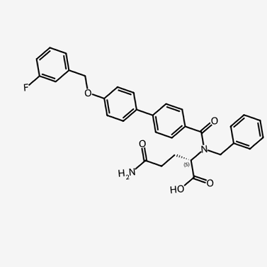 NC(=O)CC[C@@H](C(=O)O)N(Cc1ccccc1)C(=O)c1ccc(-c2ccc(OCc3cccc(F)c3)cc2)cc1